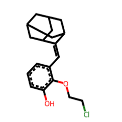 Oc1cccc(C=C2C3CC4CC(C3)CC2C4)c1OCCCl